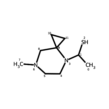 CC(S)N1CCN(C)CC12CC2